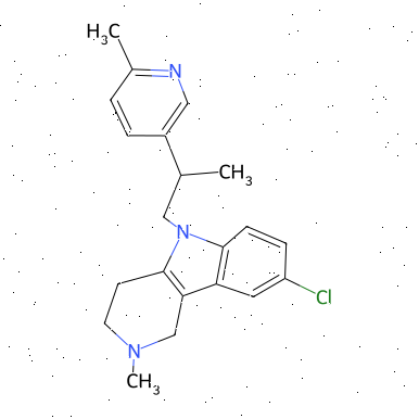 Cc1ccc(C(C)Cn2c3c(c4cc(Cl)ccc42)CN(C)CC3)cn1